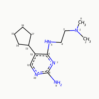 CN(C)CCNc1nc(N)ncc1C1CCCC1